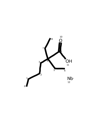 CCCCC(CC)(CC)C(=O)O.[Nb]